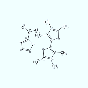 CC1=C(C)C(C)=C(C2=C(C)C(C)=C(C)C2)C1.[Cl][Zr]([Cl])[C]1=CC=CC1